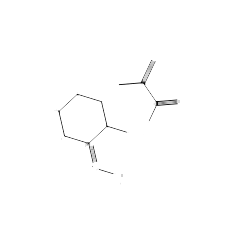 C=C(C)C(=O)O.O/N=C1/CCCCC1Cl